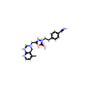 Cc1ccnc2c1CN(Cc1nn(CCc3ccc(C#N)cc3)c(=O)o1)C=N2